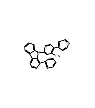 N#Cc1cc(-n2c3ccccc3c3cccc(-c4ccccc4)c32)ccc1-c1ccncc1